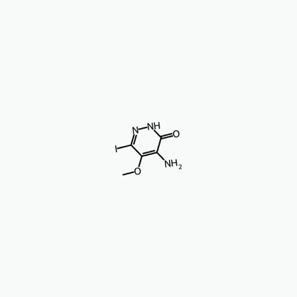 COc1c(I)n[nH]c(=O)c1N